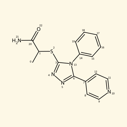 CC(Sc1nnc(-c2ccncc2)n1-c1ccccc1)C(N)=O